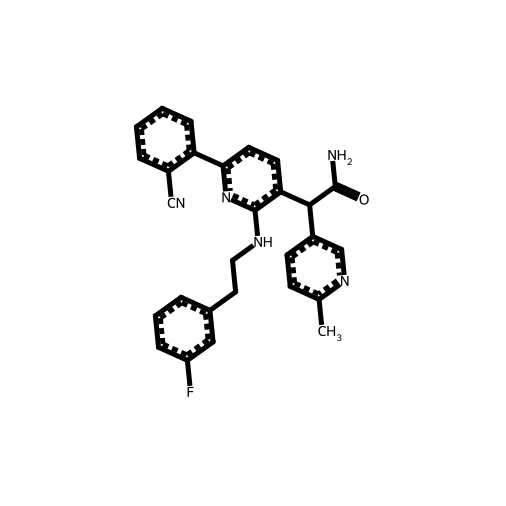 Cc1ccc(C(C(N)=O)c2ccc(-c3ccccc3C#N)nc2NCCc2cccc(F)c2)cn1